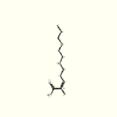 CCCOCCOCCC=C(C)C(=O)O